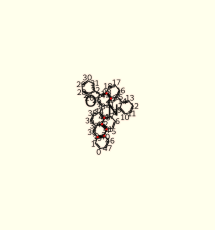 c1ccc(-c2ccc(N(c3ccccc3-c3ccccc3)c3ccc4c(oc5ccccc54)c3-c3ccc4ccccc4c3)cc2)cc1